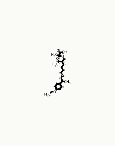 CCOc1ccc(C(C)=NOCCCCC2COC(C)(C(=O)O)OC2C)cc1